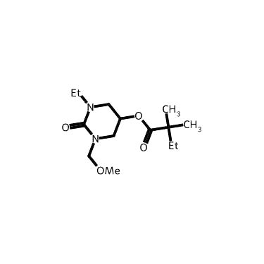 CCN1CC(OC(=O)C(C)(C)CC)CN(COC)C1=O